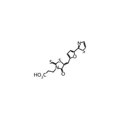 O=C(O)CCN1C(=O)C(=Cc2ccc(-c3nccs3)o2)SC1=S